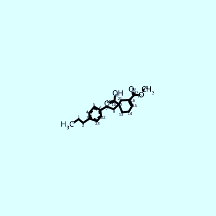 CCCc1ccc(CCC2(C(=O)O)CCC=C(C(=O)OC)C2)cc1